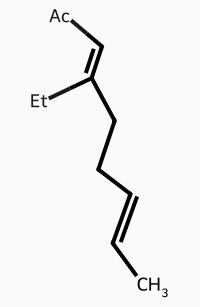 C/C=C/CC/C(=C/C(C)=O)CC